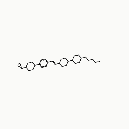 CCCCCC1CCC(C2CCC(C=Cc3ccc(C4CCC(C=O)CC4)cc3)CC2)CC1